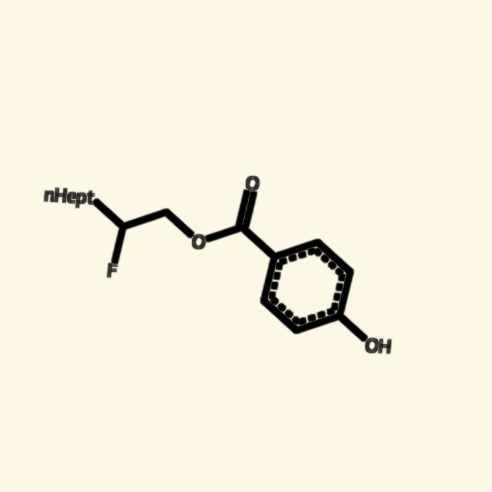 CCCCCCCC(F)COC(=O)c1ccc(O)cc1